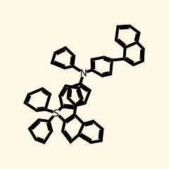 c1ccc(N(c2ccc(-c3cccc4ccccc34)cc2)c2ccc(-c3c(S(c4ccccc4)(c4ccccc4)c4ccccc4)ccc4ccccc34)cc2)cc1